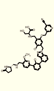 COc1nc(-c2cccc(-c3cccc4c3cnn4Cc3cc(OCc4cncc(C#N)c4)c(CNC(CO)C(=O)O)cc3Cl)c2Cl)ccc1CNC[C@@H]1CCC(=O)N1